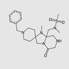 CN1C2(CCN(Cc3ccccc3)CC2)CN2C(=O)CNCC21CN(C)S(C)(=O)=O